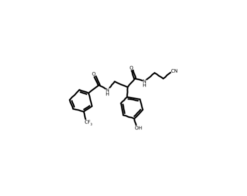 N#CCCNC(=O)C(CNC(=O)c1cccc(C(F)(F)F)c1)c1ccc(O)cc1